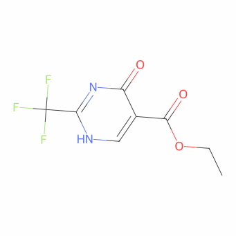 CCOC(=O)c1c[nH]c(C(F)(F)F)nc1=O